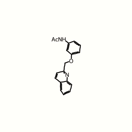 CC(=O)Nc1cccc(OCc2ccc3ccccc3n2)c1